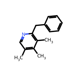 Cc1cnc(Cc2ccccc2)c(C)c1C